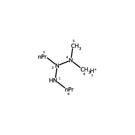 CCCNN(CCC)N(C)C.[H+]